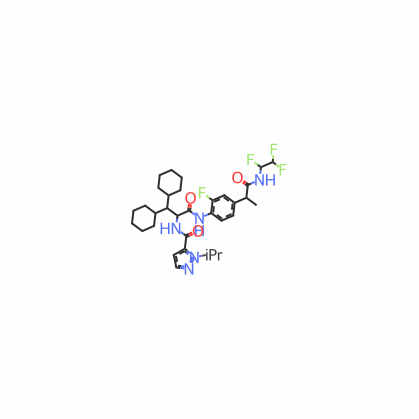 CC(C(=O)NC(F)C(F)F)c1ccc(NC(=O)C(NC(=O)c2ccnn2C(C)C)C(C2CCCCC2)C2CCCCC2)c(F)c1